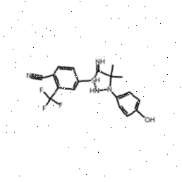 CC1(C)C(=N)[SH](c2ccc(C#N)c(C(F)(F)F)c2)NN1c1ccc(O)cc1